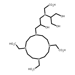 O=C(O)CN1CCN(CC(=O)O)CCN(CC(O)CN(CC(=O)O)C(CO)CO)CCN(CC(=O)O)CC1